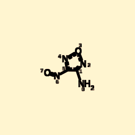 Nc1nonc1N=O